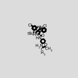 C=C(OC1CCC(NC(=O)[C@@H]2N[C@H](CC(C)(C)C)[C@]3(C(=O)Nc4cc(Cl)ccc43)[C@H]2c2cccc(Cl)c2F)CC1)[C@H](C)N